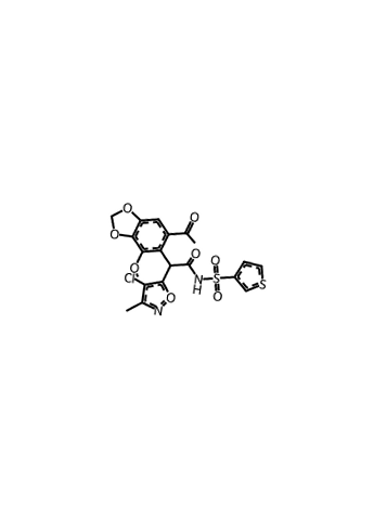 COc1c2c(cc(C(C)=O)c1C(C(=O)NS(=O)(=O)c1ccsc1)c1onc(C)c1Cl)OCO2